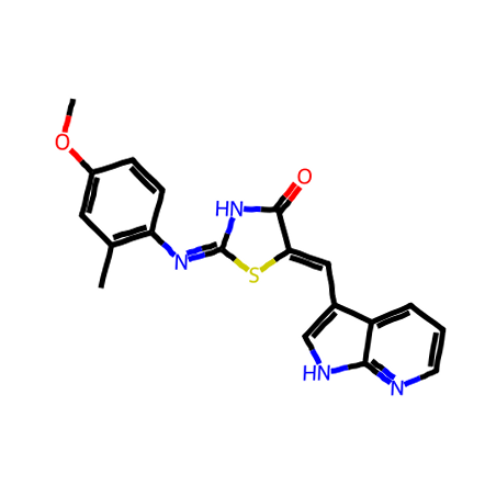 COc1ccc(N=C2NC(=O)C(=Cc3c[nH]c4ncccc34)S2)c(C)c1